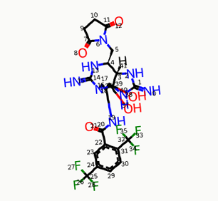 N=C1N[C@H]2[C@H](CN3C(=O)CCC3=O)NC(=N)N3CC(NC(=O)c4cc(C(F)(F)F)ccc4C(F)(F)F)C(O)(O)[C@]23N1